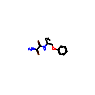 CC(COc1ccccc1)NC(=S)C(N)=S